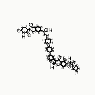 O=C1CCC(N2Cc3cc(C(O)CCN4CCN(c5ccc(-c6cnc7[nH]cc(C(=O)c8c(F)ccc(NS(=O)(=O)N9CC[C@@H](F)C9)c8F)c7c6)cc5)CC4)ccc3C2=O)C(=O)N1